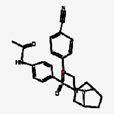 CC(=O)Nc1ccc(S(=O)(=O)N2CC3CCC(C2)N3CCOc2ccc(C#N)cc2)cc1